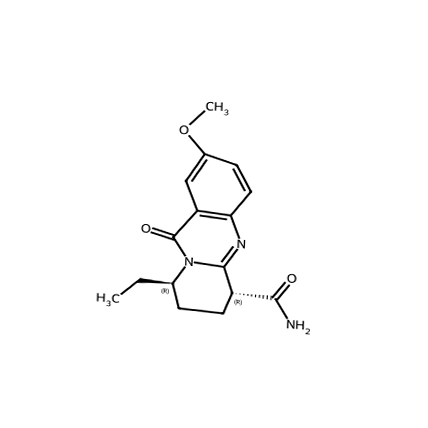 CC[C@@H]1CC[C@@H](C(N)=O)c2nc3ccc(OC)cc3c(=O)n21